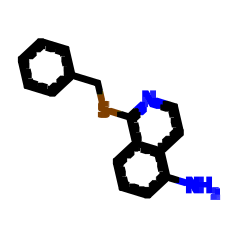 Nc1cccc2c(SCc3ccccc3)nccc12